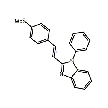 CSc1ccc(/C=C/c2nc3ccccc3n2-c2ccccc2)cc1